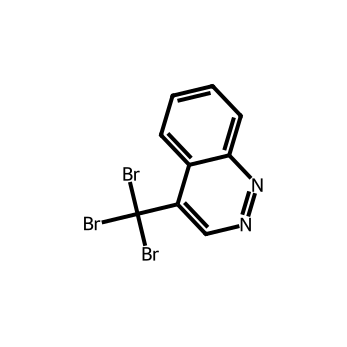 BrC(Br)(Br)c1cnnc2ccccc12